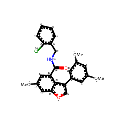 COc1cc(OC)cc(-c2coc3cc(OC)cc(C(=O)NCc4ccccc4Cl)c23)c1